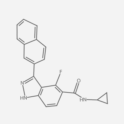 O=C(NC1CC1)c1ccc2[nH]nc(-c3ccc4ccccc4c3)c2c1F